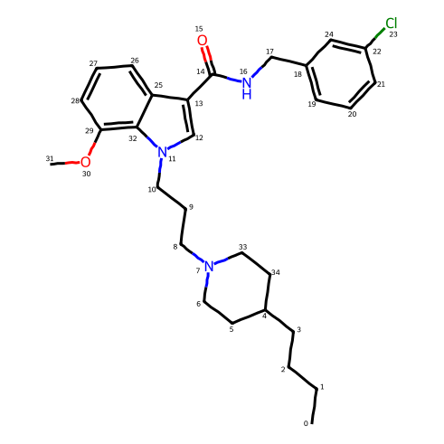 CCCCC1CCN(CCCn2cc(C(=O)NCc3cccc(Cl)c3)c3cccc(OC)c32)CC1